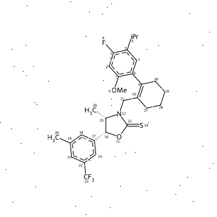 COc1cc(F)c(C(C)C)cc1C1=C(CN2C(=S)O[C@H](c3cc(C)cc(C(F)(F)F)c3)[C@@H]2C)CCCC1